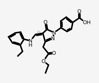 CCOC(=O)CC1=NN(c2ccc(C(=O)O)cc2)C(=O)/C1=C/Nc1ccccc1CC